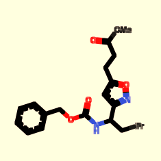 COC(=O)CCc1cc(C(CC(C)C)NC(=O)OCc2ccccc2)no1